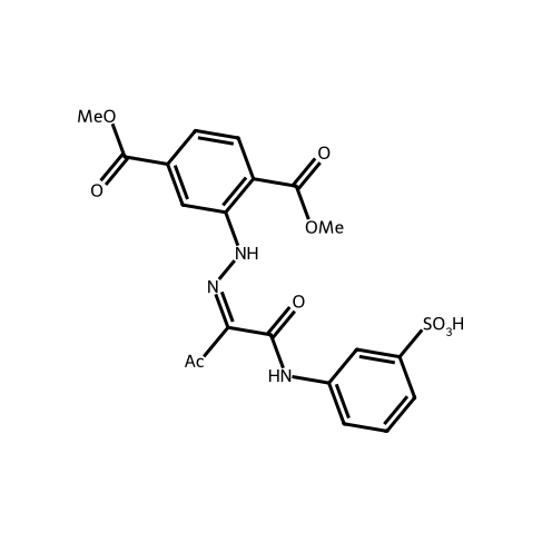 COC(=O)c1ccc(C(=O)OC)c(N/N=C(/C(C)=O)C(=O)Nc2cccc(S(=O)(=O)O)c2)c1